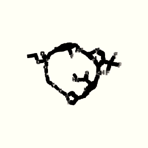 CCOP1(=O)Cc2ccc(c(F)c2)Nc2ncc(C(F)(F)F)c(n2)Nc2ccc(nc2C(=O)NC)-c2cnn(c2)CCCCO1